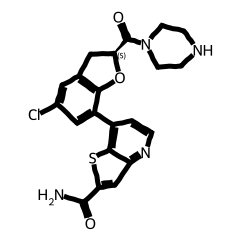 NC(=O)c1cc2nccc(-c3cc(Cl)cc4c3O[C@H](C(=O)N3CCNCC3)C4)c2s1